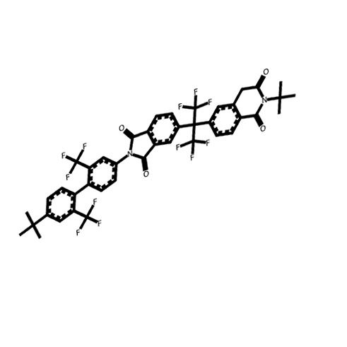 CC(C)(C)c1ccc(-c2ccc(N3C(=O)c4ccc(C(c5ccc6c(c5)CC(=O)N(C(C)(C)C)C6=O)(C(F)(F)F)C(F)(F)F)cc4C3=O)cc2C(F)(F)F)c(C(F)(F)F)c1